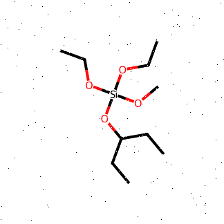 CCO[Si](OC)(OCC)OC(CC)CC